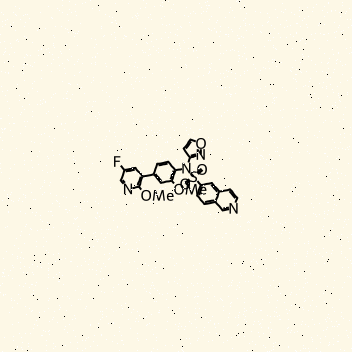 COc1cc(-c2cc(F)cnc2OC)ccc1N(c1ccon1)S(=O)(=O)c1ccc2cnccc2c1